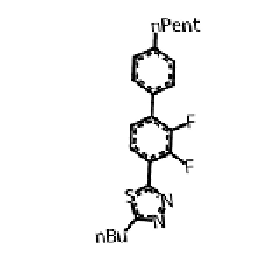 CCCCCc1ccc(-c2ccc(-c3nnc(CCCC)s3)c(F)c2F)cc1